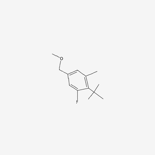 COCc1cc(C)c(C(C)(C)C)c(F)c1